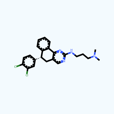 CN(C)CCCNc1ncc2c(n1)-c1ccccc1[C@@H](c1ccc(Cl)c(Cl)c1)C2